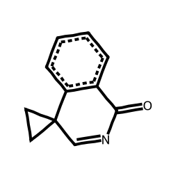 O=C1N=CC2(CC2)c2ccccc21